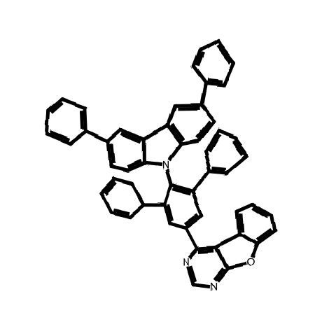 C1=CCC(c2cc(-c3ncnc4oc5ccccc5c34)cc(-c3ccccc3)c2-n2c3ccc(-c4ccccc4)cc3c3cc(-c4ccccc4)ccc32)C=C1